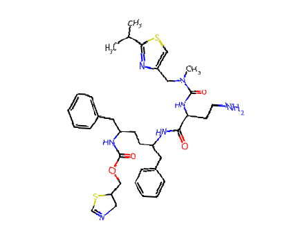 CC(C)c1nc(CN(C)C(=O)NC(CCN)C(=O)NC(CCC(Cc2ccccc2)NC(=O)OCC2CN=CS2)Cc2ccccc2)cs1